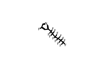 Fc1[c]ncc(C(F)(F)C(F)(F)C(F)(F)C(F)(F)C(F)(F)C(F)(F)F)c1